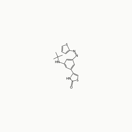 CC(C)(C)Nc1cc(/N=N\c2cccs2)cc(-c2csc(=O)[nH]2)c1